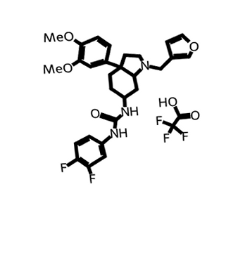 COc1ccc(C23CCC(NC(=O)Nc4ccc(F)c(F)c4)CC2N(Cc2ccoc2)CC3)cc1OC.O=C(O)C(F)(F)F